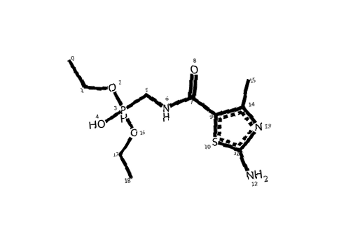 CCO[PH](O)(CNC(=O)c1sc(N)nc1C)OCC